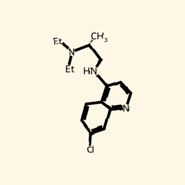 CCN(CC)[C@H](C)CNc1ccnc2cc(Cl)ccc12